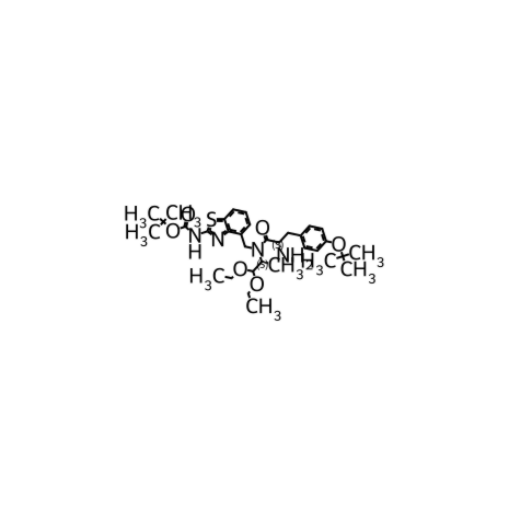 CCOC(OCC)[C@H](C)N(Cc1cccc2sc(NC(=O)OC(C)(C)C)nc12)C(=O)[C@@H](N)Cc1ccc(OC(C)(C)C)cc1